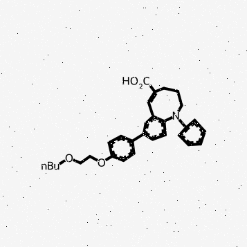 CCCCOCCOc1ccc(-c2ccc3c(c2)C=C(C(=O)O)CCCN3c2ccccc2)cc1